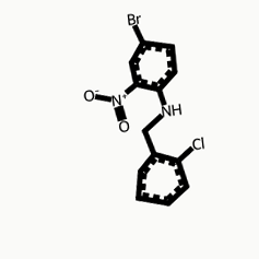 O=[N+]([O-])c1cc(Br)ccc1NCc1ccccc1Cl